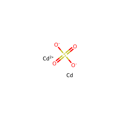 O=S(=O)([O-])[O-].[Cd+2].[Cd]